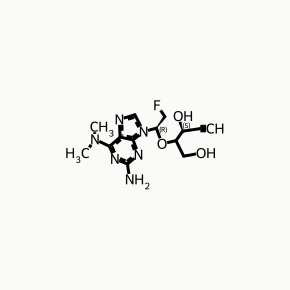 C#C[C@H](O)C(CO)O[C@H](CF)n1cnc2c(N(C)C)nc(N)nc21